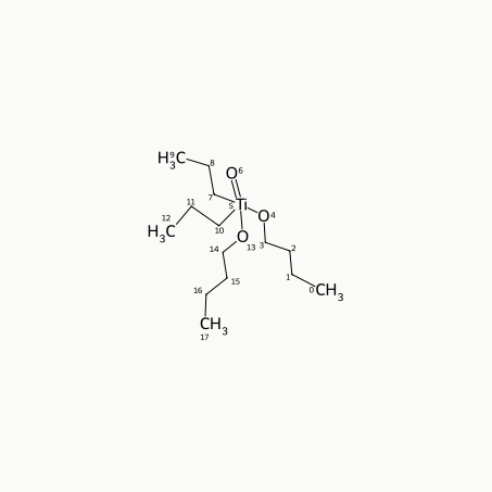 CCCC[O][Ti](=[O])([CH2]CC)([CH2]CC)[O]CCCC